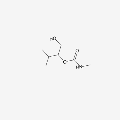 CNC(=O)OC(CO)C(C)C